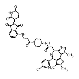 Cc1sc2c(c1C)C(c1ccc(Cl)cc1)=N[C@@H](CC(=O)NN1CCN(C(=O)CCNc3cccc4c3C(=O)N(C3CCC(=O)NC3=O)C4=O)CC1)c1nnc(C)n1-2